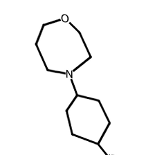 CC(C)C1CCC(N2CCCOCC2)CC1